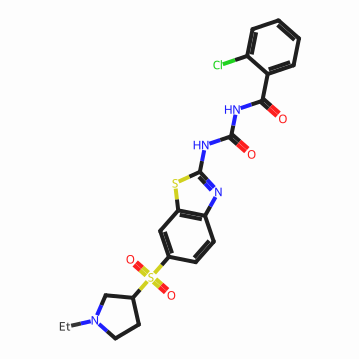 CCN1CCC(S(=O)(=O)c2ccc3nc(NC(=O)NC(=O)c4ccccc4Cl)sc3c2)C1